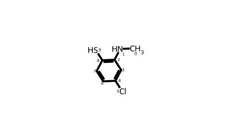 CNc1cc(Cl)ccc1S